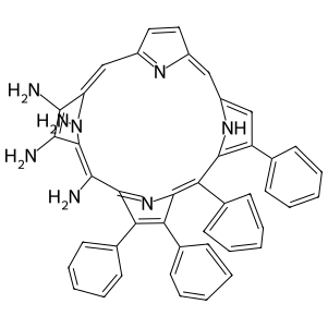 Nc1c(N)c2c(N)c3nc(c(-c4ccccc4)c4[nH]c(cc5nc(cc1n2N)C=C5)cc4-c1ccccc1)C(c1ccccc1)=C3c1ccccc1